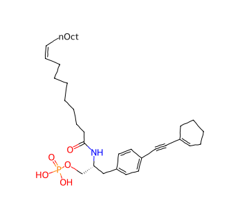 CCCCCCCC/C=C\CCCCCCCC(=O)N[C@@H](COP(=O)(O)O)Cc1ccc(C#CC2=CCCCC2)cc1